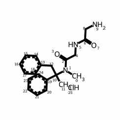 CN(C(=O)CNC(=O)CN)C(C)(Cc1ccccc1)c1ccccc1.Cl